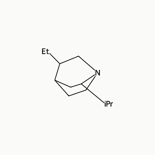 CCC1CN2CCC1CC2C(C)C